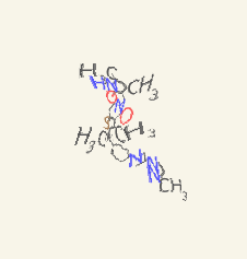 Cc1ccn(C2CN(C3CCC([C@@H](C)c4sc5c(c4C)C(=O)N(Cc4c(C)cc(C)[nH]c4=O)CC5)CC3)C2)n1